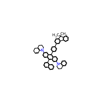 CC1(C)c2ccccc2-c2cc(-c3ccc(-c4c5cc(N6CCCC7=C6C=CCC7)ccc5c(-c5cccc6ccccc56)c5cc(N6CCCc7ccccc76)ccc45)cc3)ccc21